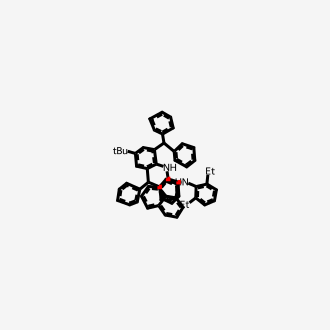 CCc1cccc(CC)c1NC1=C(Nc2c(C(c3ccccc3)c3ccccc3)cc(C(C)(C)C)cc2C(c2ccccc2)c2ccccc2)c2cccc3cccc1c23